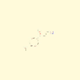 CC1(C(=O)c2ccc(Br)cc2)CNC1